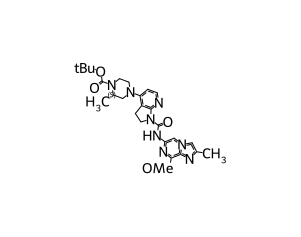 COc1nc(NC(=O)N2CCc3c(N4CCN(C(=O)OC(C)(C)C)[C@@H](C)C4)ccnc32)cn2cc(C)nc12